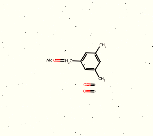 Cc1cc(C)cc(C)c1.[C]=O.[C]=O.[C]=O.[Mo]